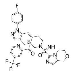 N=S(=O)(c1ncc2n1CCOC2)N1CCC2=Cc3c(cnn3-c3ccc(F)cc3)C[C@]2(C(=O)c2cc(C(F)(F)F)ccn2)C1